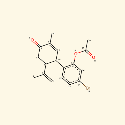 C=C(C)C1CC(=O)C(C)=CC1c1[c]cc(Br)cc1OC(C)=O